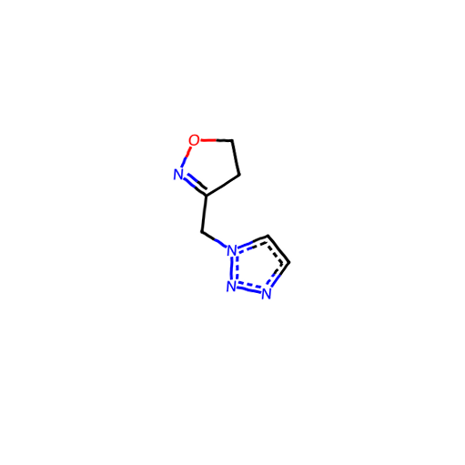 c1cn(CC2=NOCC2)nn1